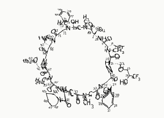 CC[C@H](C)[C@@H]1NC(=O)[C@H](CC(C)C)N(C)C(=O)[C@H](COCC(O)C(F)(F)F)NC(=O)[C@H](Cc2ccccc2)N(C)C(=O)CN(C)C(=O)C[C@@H](C(=O)N2CCCCC2)NC(=O)[C@H](CC(C)C)N(C)C(=O)[C@H](COC(C)(C)C)NC(=O)[C@H](CC(C)C)N(C)C(=O)[C@H](Cc2ccccc2)N(C)C(O)CN(C)C1=O